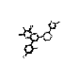 Cc1nc2c(-c3ccc(Cl)cc3F)cc(N3CCOC(c4cnn(C)c4)C3)nn2c(=O)c1C